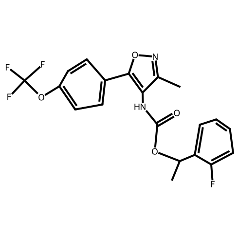 Cc1noc(-c2ccc(OC(F)(F)F)cc2)c1NC(=O)OC(C)c1ccccc1F